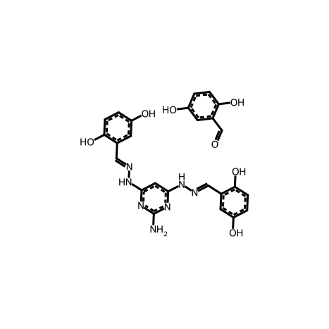 Nc1nc(NN=Cc2cc(O)ccc2O)cc(NN=Cc2cc(O)ccc2O)n1.O=Cc1cc(O)ccc1O